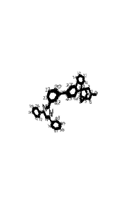 CC1CC2CC3(C1)CC3C21c2ccccc2-c2cc(-c3cccc(-c4nc(-c5ccccc5)cc(-c5ccccc5)n4)c3)ccc21